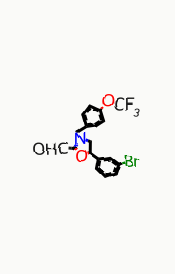 O=CC1OC(c2cccc(Br)c2)CN1Cc1ccc(OC(F)(F)F)cc1